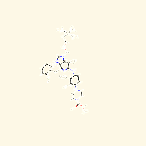 COc1c(Nc2nc(Cc3c(Cl)cccc3Cl)c3ncn(COCC[Si](C)(C)C)c3c2C#N)ccc(N2CCN(C(=O)OC(C)(C)C)CC2)c1F